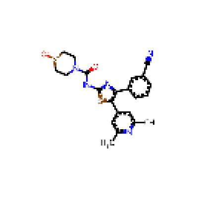 Cc1cc(-c2sc(NC(=O)N3CC[S+]([O-])CC3)nc2-c2cccc(C#N)c2)cc(C)n1